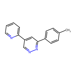 Cc1ccc(-c2cc(-c3ccccn3)cnn2)cc1